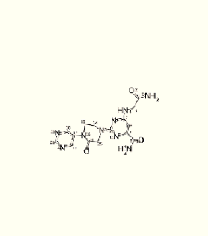 NC(=O)CNc1cc(C(N)=O)nc(N2CCN(c3cncnc3)C(=O)C2)n1